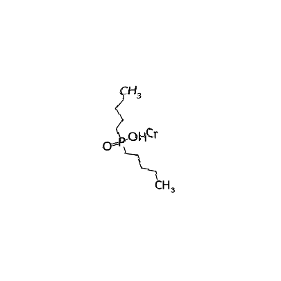 CCCCCP(=O)(O)CCCCC.[Cr]